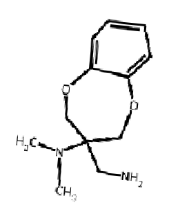 CN(C)C1(CN)COc2ccccc2OC1